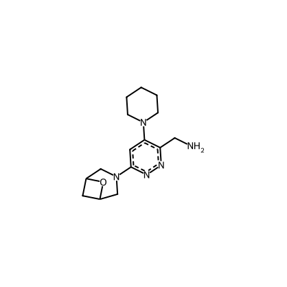 NCc1nnc(N2CC3CC(C2)O3)cc1N1CCCCC1